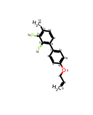 C=CCOc1ccc(-c2ccc(C)c(F)c2F)cc1